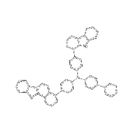 c1ccc(-c2ccc(N(c3ccc(-c4cccc5c4ccc4c6ccccc6sc54)cc3)c3ccc(-c4cccc5c4oc4ccccc45)cc3)cc2)cc1